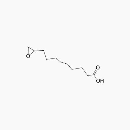 O=C(O)CCCCCCCCC1CO1